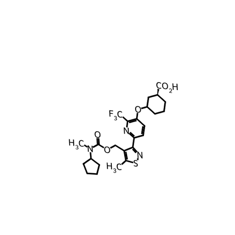 Cc1snc(-c2ccc(OC3CCC[C@H](C(=O)O)C3)c(C(F)(F)F)n2)c1COC(=O)N(C)C1CCCC1